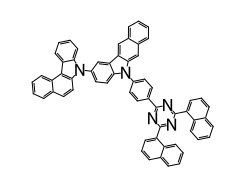 c1ccc2cc3c(cc2c1)c1cc(-n2c4ccccc4c4c5ccccc5ccc42)ccc1n3-c1ccc(-c2nc(-c3cccc4ccccc34)nc(-c3cccc4ccccc34)n2)cc1